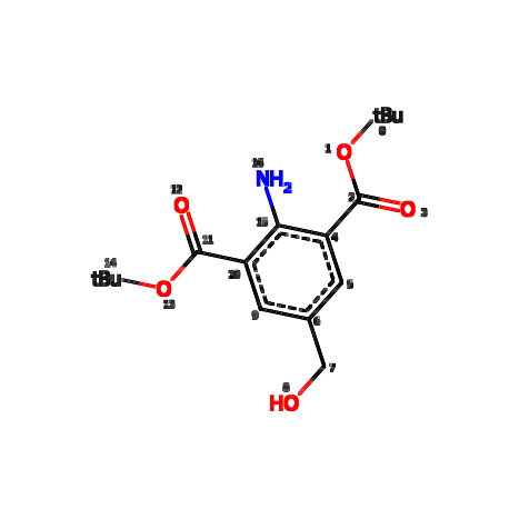 CC(C)(C)OC(=O)c1cc(CO)cc(C(=O)OC(C)(C)C)c1N